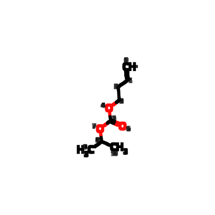 [CH]=CCCOC(=O)OC(C)C